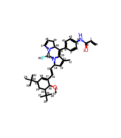 C=CC(=O)Nc1ccc(C2=C3C(C)=CC(/C=C/C4=CC(C(C)(C)C)CC(C(C)(C)C)C4OC)N3B(F)N3C=CCC23)cc1